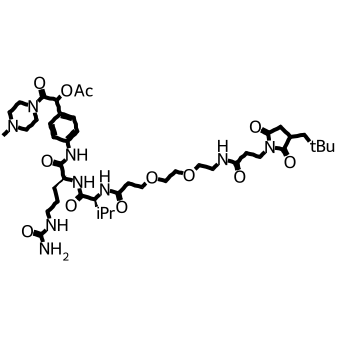 CC(=O)OC(C(=O)N1CCN(C)CC1)c1ccc(NC(=O)[C@H](CCCNC(N)=O)NC(=O)[C@@H](NC(=O)CCOCCOCCNC(=O)CCN2C(=O)CC(CC(C)(C)C)C2=O)C(C)C)cc1